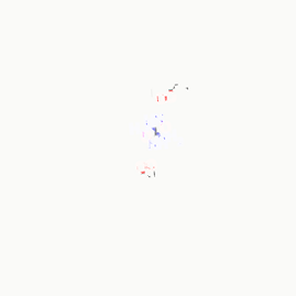 CC(C)(C)OC(=O)CCCNC(=O)[C@@H](N)[C@@H](N)C(=O)NCCCC(=O)OC(C)(C)C